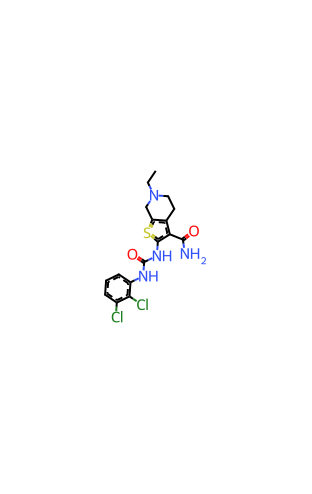 CCN1CCc2c(sc(NC(=O)Nc3cccc(Cl)c3Cl)c2C(N)=O)C1